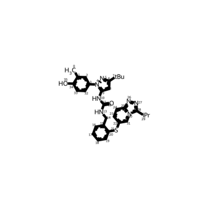 Cc1cc(-n2nc(C(C)(C)C)cc2NC(=O)NCc2ccccc2Sc2ccc3nnc(C(C)C)n3c2)ccc1O